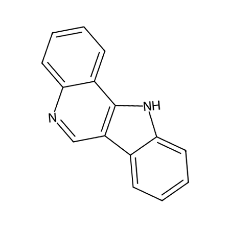 c1ccc2c(c1)ncc1c3ccccc3[nH]c21